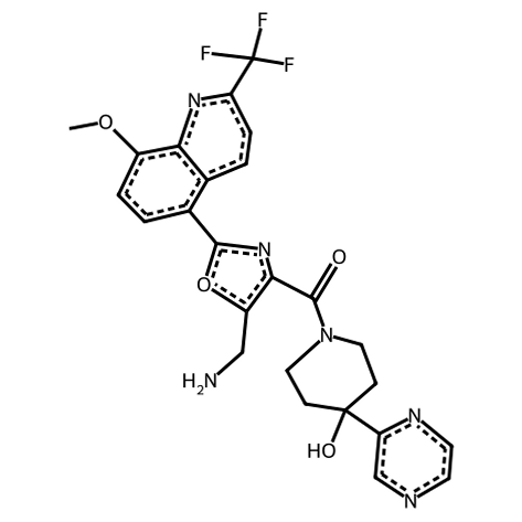 COc1ccc(-c2nc(C(=O)N3CCC(O)(c4cnccn4)CC3)c(CN)o2)c2ccc(C(F)(F)F)nc12